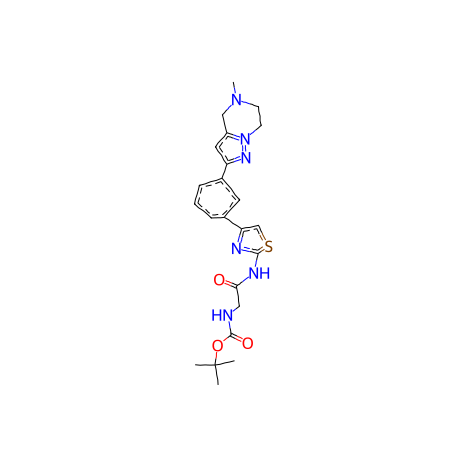 CN1CCn2nc(-c3cccc(-c4csc(NC(=O)CNC(=O)OC(C)(C)C)n4)c3)cc2C1